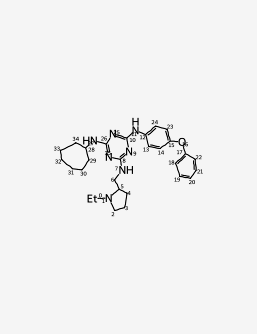 CCN1CCCC1CNc1nc(Nc2ccc(Oc3ccccc3)cc2)nc(NC2CCCCCC2)n1